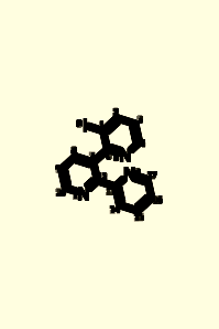 Ic1cccnc1-c1cccnc1-c1ccccn1